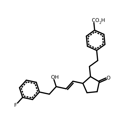 O=C(O)c1ccc(CCC2C(=O)CCC2C=CC(O)Cc2cccc(F)c2)cc1